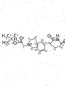 CC(C)(C)OC(=O)CN1CCc2cc([C@H]3CCC(=O)NC3=O)ccc2C1